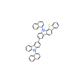 c1ccc2c(-n3c4ccccc4c4cc(-c5ccc6c(c5)c5ccc7c8ccccc8sc7c5n6-c5cccc6ccccc56)ccc43)cccc2c1